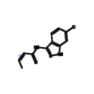 C/C=C\C(=O)Nc1n[nH]c2cc(Cl)ccc12